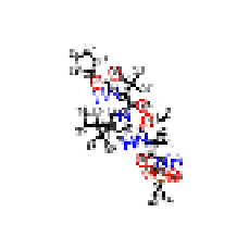 C=C[C@@H]1C[C@]1(NC(=O)[C@@H]1C[C@@]2(CN1C(=O)[C@@H](NC(=O)OC1CCCC1)C(C)(C)C)C(C)(C)C21CCC1)C(=O)NS(=O)(=O)C1CC1